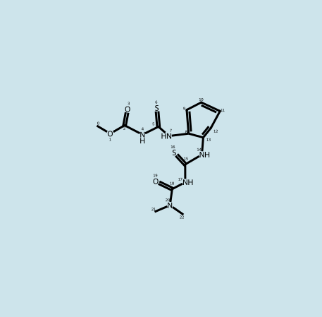 COC(=O)NC(=S)Nc1ccccc1NC(=S)NC(=O)N(C)C